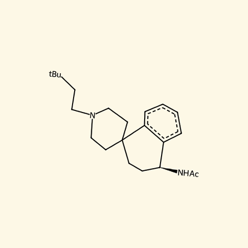 CC(=O)N[C@H]1CCC2(CCN(CCC(C)(C)C)CC2)c2ccccc21